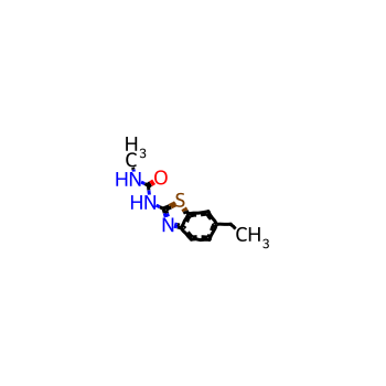 CCc1ccc2nc(NC(=O)NC)sc2c1